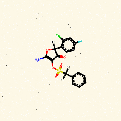 [2H]C([2H])(c1ccccc1)S(=O)(=O)OC1=C(N)O[C@]([2H])(c2ccc(F)cc2Cl)C1=O